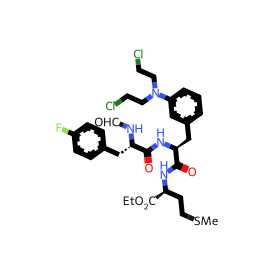 CCOC(=O)[C@H](CCSC)NC(=O)[C@H](Cc1cccc(N(CCCl)CCCl)c1)NC(=O)[C@H](Cc1ccc(F)cc1)NC=O